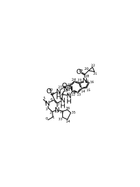 CCC1CN(C)C2=C(N[C@@](N)(Nc3cc4ccn(C(=O)C5CC5)c4cc3OC)NC2=O)N1C1CCCC1